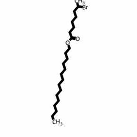 CCCCCCCCCCCCCCCOC(=O)CCCCCC(C)Br